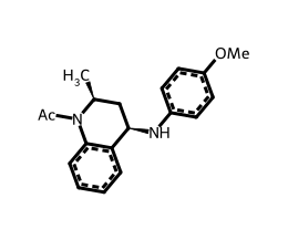 COc1ccc(N[C@@H]2C[C@H](C)N(C(C)=O)c3ccccc32)cc1